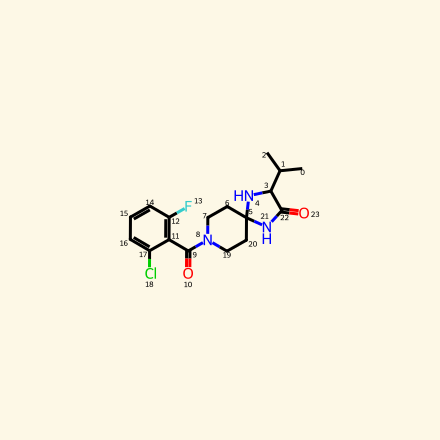 CC(C)C1NC2(CCN(C(=O)c3c(F)cccc3Cl)CC2)NC1=O